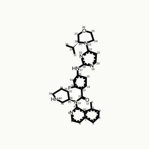 Cc1cccc2ccnc(N(C(=O)c3ccc(Nc4nccc(N5CCOC[C@H]5C(C)C)n4)cc3F)[C@@H]3CCCNC3)c12